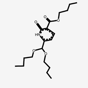 CCCCOC(=O)c1ccc(C(OCCCC)OCCCC)[nH]c1=O